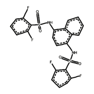 O=S(=O)(Nc1ccc(NS(=O)(=O)c2c(F)cccc2F)c2ccccc12)c1c(F)cccc1F